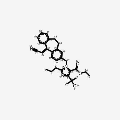 CCCc1nc(C(C)(C)O)c(C(=O)OCC)n1Cc1ccc2c(c1)CCc1ccccc1/C2=C\C#N